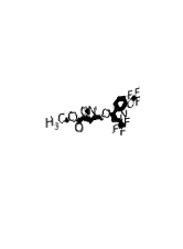 CCOC(=O)c1cc(COc2cc(C(F)(F)F)nc3c(OC(F)(F)F)cccc23)no1